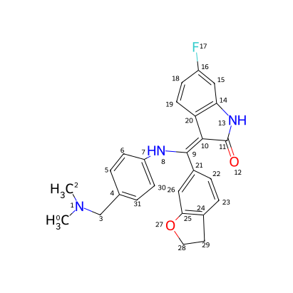 CN(C)Cc1ccc(NC(=C2C(=O)Nc3cc(F)ccc32)c2ccc3c(c2)OCC3)cc1